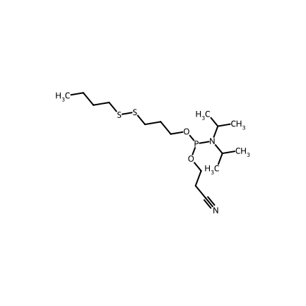 CCCCSSCCCOP(OCCC#N)N(C(C)C)C(C)C